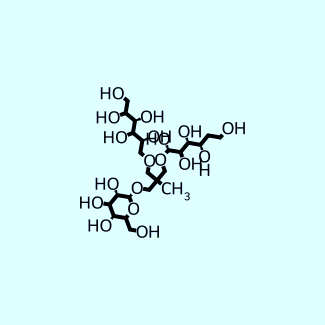 CC(COC[C@H](O)C(O)[C@H](O)C(O)CO)(CO[C@H]1OC(CO)[C@@H](O)C(O)[C@H]1O)CO[C@@H](O)C(O)[C@@H](O)[C@H](O)CCO